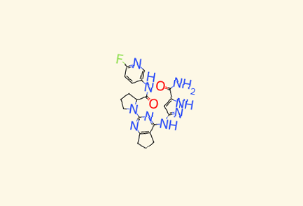 NC(=O)c1cc(Nc2nc(N3CCCC3C(=O)Nc3ccc(F)nc3)nc3c2CCC3)n[nH]1